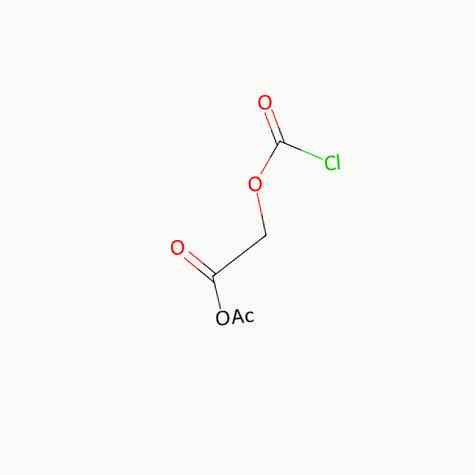 CC(=O)OC(=O)COC(=O)Cl